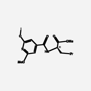 COC(=O)[C@@H](CC(C)C)NC(=O)c1cc(OC)nc(OI)c1